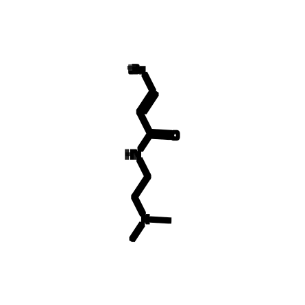 CN(C)CCNC(=O)C=CC(C)(C)C